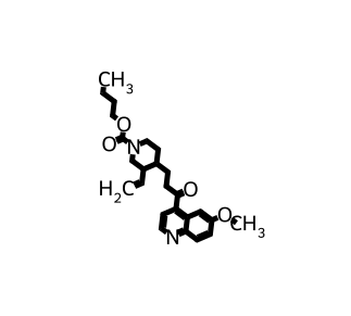 C=CC1CN(C(=O)OCCCC)CCC1CCC(=O)c1ccnc2ccc(OC)cc12